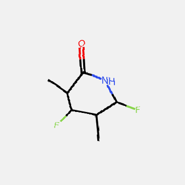 CC1C(=O)NC(F)C(C)C1F